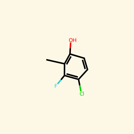 Cc1c(O)ccc(Cl)c1F